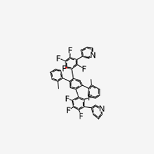 Cc1ccccc1-c1cc(-c2c(F)c(F)c(F)c(-c3cccnc3)c2F)c(-c2ccccc2C)cc1-c1c(F)c(F)c(F)c(-c2cccnc2)c1F